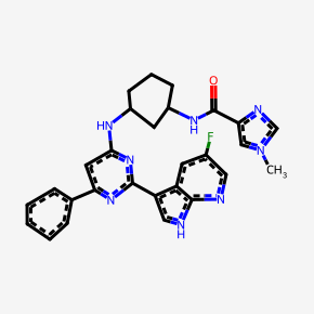 Cn1cnc(C(=O)NC2CCCC(Nc3cc(-c4ccccc4)nc(-c4c[nH]c5ncc(F)cc45)n3)C2)c1